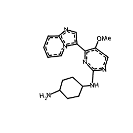 COc1cnc(NC2CCC(N)CC2)nc1-c1cnc2ccccn12